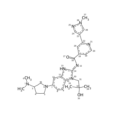 CN(C)C1CCN(c2ccc3c(c2)[nH]/c(=N\C(=O)c2ccnc(-c4cnn(C)c4)c2)n3CC(C)(C)O)C1